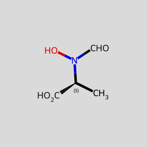 C[C@@H](C(=O)O)N(O)C=O